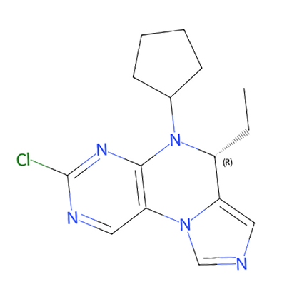 CC[C@@H]1c2cncn2-c2cnc(Cl)nc2N1C1CCCC1